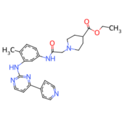 CCOC(=O)C1CCN(CC(=O)Nc2ccc(C)c(Nc3nccc(-c4ccncc4)n3)c2)CC1